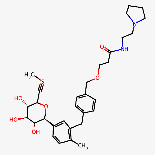 CS#CC1O[C@@H](c2ccc(C)c(Cc3ccc(COCCC(=O)NCCN4CCCC4)cc3)c2)[C@H](O)[C@@H](O)[C@@H]1O